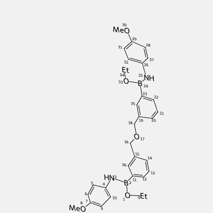 CCOB(Nc1ccc(OC)cc1)c1cccc(COCc2cccc(B(Nc3ccc(OC)cc3)OCC)c2)c1